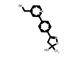 N#CCc1ccnc(-c2ccc(C3=NOC(O)(C(F)(F)F)C3)cc2)c1